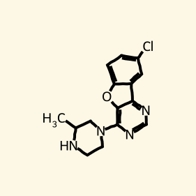 CC1CN(c2ncnc3c2oc2ccc(Cl)cc23)CCN1